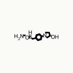 NCOBCc1ccc(N2CC[C@H](O)C2)cc1